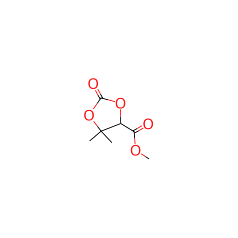 COC(=O)C1OC(=O)OC1(C)C